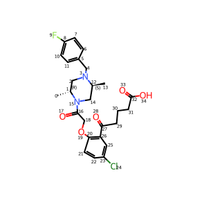 C[C@@H]1CN(Cc2ccc(F)cc2)[C@@H](C)CN1C(=O)COc1ccc(Cl)cc1C(=O)CCCC(=O)O